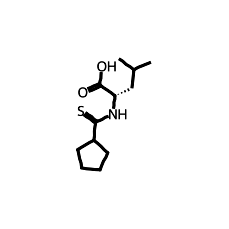 CC(C)C[C@H](NC(=S)C1CCCC1)C(=O)O